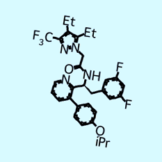 CCc1c(C(F)(F)F)nn(CC(=O)N[C@@H](Cc2cc(F)cc(F)c2)c2ncccc2-c2ccc(OC(C)C)cc2)c1CC